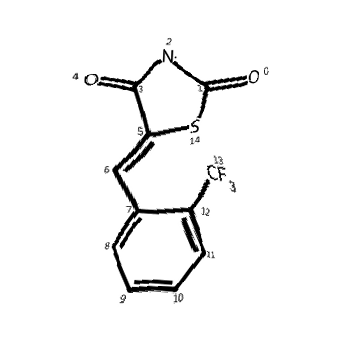 O=C1[N]C(=O)C(=Cc2ccccc2C(F)(F)F)S1